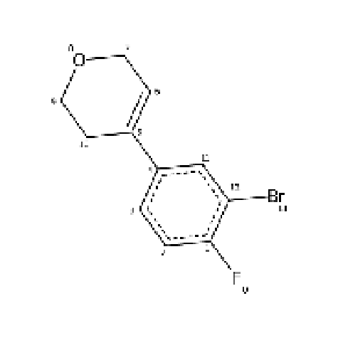 Fc1ccc(C2=CCOCC2)cc1Br